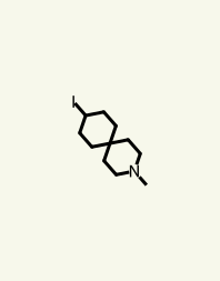 CN1CCC2(CCC(I)CC2)CC1